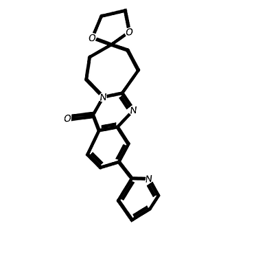 O=c1c2ccc(-c3ccccn3)cc2nc2n1CCC1(CC2)OCCO1